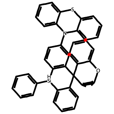 c1ccc([SiH]2c3ccccc3C3(c4ccccc4Oc4ccccc43)c3cc(N4c5ccccc5Sc5ccccc54)ccc32)cc1